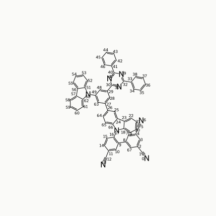 N#Cc1cc(C#N)cc(-c2cc(C#N)ccc2-n2c3ccccc3c3cc(-c4cc(-c5nc(-c6ccccc6)nc(-c6ccccc6)n5)cc(-n5c6ccccc6c6ccccc65)c4)ccc32)c1